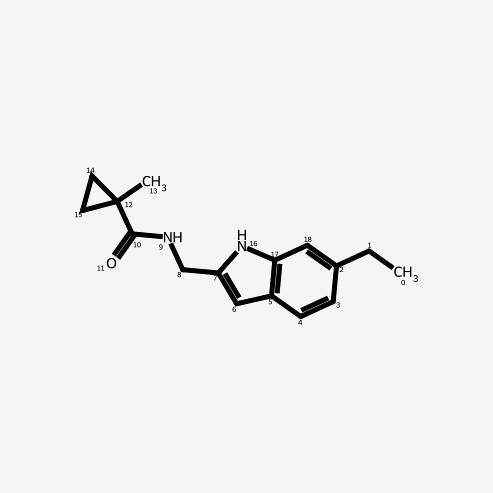 CCc1ccc2cc(CNC(=O)C3(C)CC3)[nH]c2c1